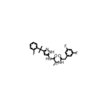 C[C@H](NC(=O)Cc1cc(F)cc(F)c1)C(=O)Nc1cc(C(C)(C)c2ccccc2F)n[nH]1